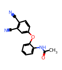 CC(=O)Nc1ccccc1Oc1ccc(C#N)c(C#N)c1